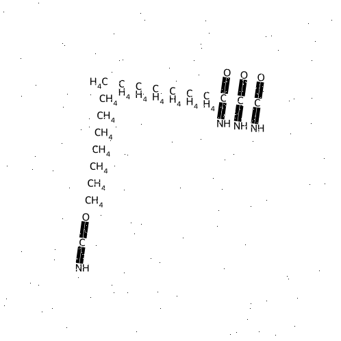 C.C.C.C.C.C.C.C.C.C.C.C.C.C.N=C=O.N=C=O.N=C=O.N=C=O